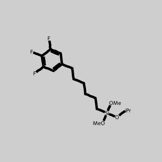 CO[Si](CCCCCCc1cc(F)c(F)c(F)c1)(OC)OC(C)C